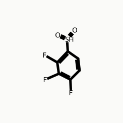 O=[SH](=O)c1ccc(F)c(F)c1F